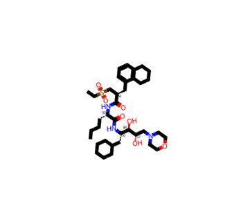 CCCC[C@H](NC(=O)[C@H](Cc1cccc2c1CCCC2)CS(=O)(=O)CC)C(=O)N[C@@H](CC1CCCCC1)[C@@H](O)[C@@H](O)CN1CCOCC1